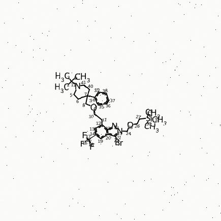 CC(C)(C)N1CCC(COCCc2cc(C(F)(F)F)cc3c(Br)n(COCC[Si](C)(C)C)nc23)(c2ccccc2)CC1